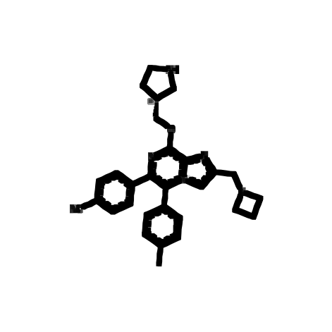 Cc1ccc(-c2c(-c3ccc(C#N)cc3)nc(OC[C@@H]3CCNC3)c3nc(CN4CCC4)cn23)cc1